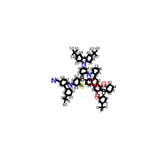 CC(C)(C)c1ccc2c(c1)Oc1cc(-c3cc4c5c(c3)N(c3ccccc3-c3ccccc3)c3cc(-n6c7ccc(C(C)(C)C)cc7c7cc(C(C)(C)C)ccc76)ccc3B5c3ccc(-n5c6ccc(C#N)cc6c6cc(C(C)(C)C)ccc65)cc3S4)cc3c1B2c1ccccc1O3